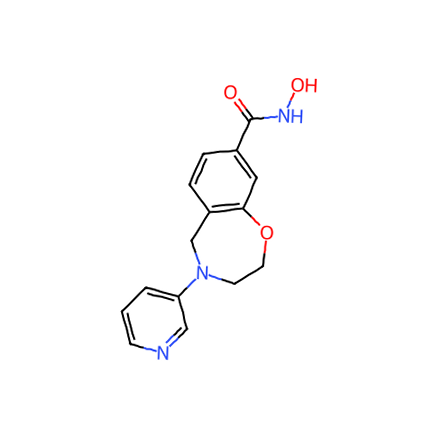 O=C(NO)c1ccc2c(c1)OCCN(c1cccnc1)C2